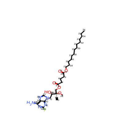 C#C[C@](COC(=O)CCCC(=O)OCCCCCCCCCCCCCC)(OC)[C@@H](O)Cn1cnc2c(N)nc(F)nc21